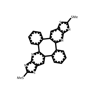 CSc1nc2nc3c(cc2s1)-c1ccccc1-c1nc2nc(SC)sc2cc1-c1ccccc1-3